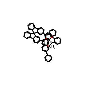 Cn1c2ccccc2c2cccc(N(c3ccc(-c4ccccc4)cc3)c3ccc4c(c3)C3(c5ccccc5-c5ccc(N(c6ccccc6)c6ccccc6)cc53)c3ccccc3-4)c21